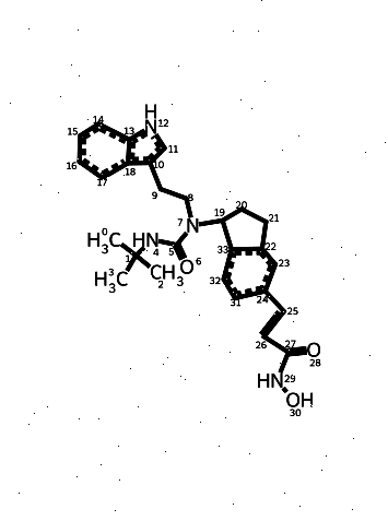 CC(C)(C)NC(=O)N(CCc1c[nH]c2ccccc12)C1CCc2cc(C=CC(=O)NO)ccc21